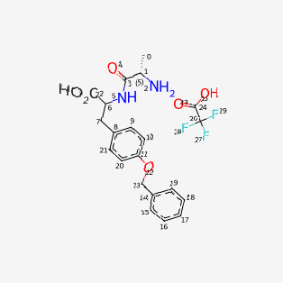 C[C@H](N)C(=O)NC(Cc1ccc(OCc2ccccc2)cc1)C(=O)O.O=C(O)C(F)(F)F